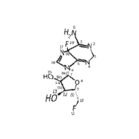 NC1=NCN=C2N([C@@H]3O[C@H](CF)[C@@H](O)[C@H]3O)C=NC12F